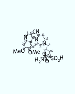 COc1cc2ncc(C#N)c(N3CCCN(CCCN(C(=O)O)S(N)(=O)=O)CC3)c2cc1OC